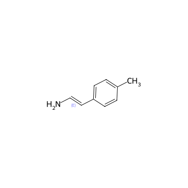 Cc1ccc(/C=C/N)cc1